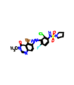 Cn1cnc2ccc(Nc3c(F)ccc(NS(=O)(=O)N4CCCC4)c3Cl)c(Br)c2c1=O